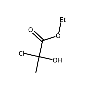 CCOC(=O)C(C)(O)Cl